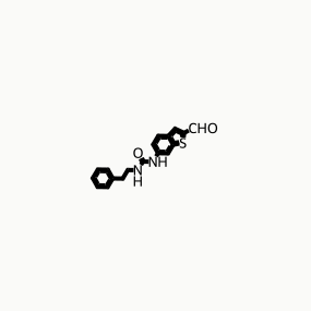 O=Cc1cc2ccc(NC(=O)NCCc3ccccc3)cc2s1